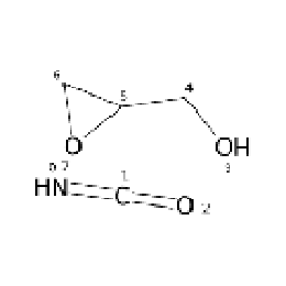 N=C=O.OCC1CO1